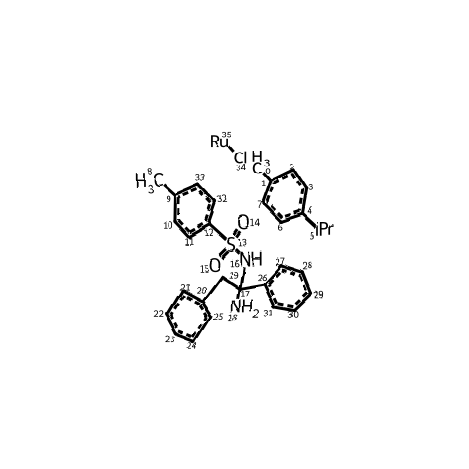 Cc1ccc(C(C)C)cc1.Cc1ccc(S(=O)(=O)NC(N)(Cc2ccccc2)c2ccccc2)cc1.[Cl][Ru]